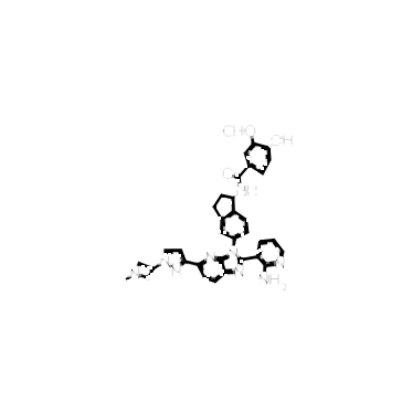 CN1CC(n2ccc(-c3ccc4nc(-c5cccnc5N)n(-c5ccc6c(c5)CC[C@@H]6NC(=O)c5ccc(O)c(C=O)c5)c4n3)n2)C1